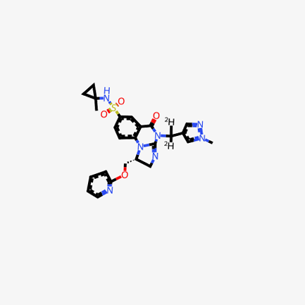 [2H]C([2H])(c1cnn(C)c1)N1C(=O)c2cc(S(=O)(=O)NC3(C)CC3)ccc2N2C1=NC[C@@H]2COc1ccccn1